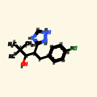 CC(C)(C#N)C(O)C(Cc1ccc(Cl)cc1)c1nc[nH]n1